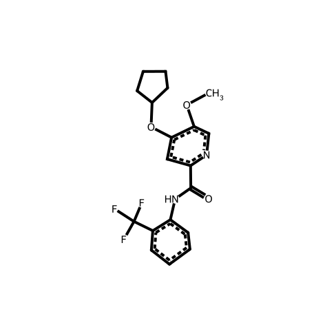 COc1cnc(C(=O)Nc2ccccc2C(F)(F)F)cc1OC1CCCC1